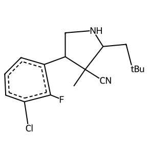 CC(C)(C)CC1NCC(c2cccc(Cl)c2F)C1(C)C#N